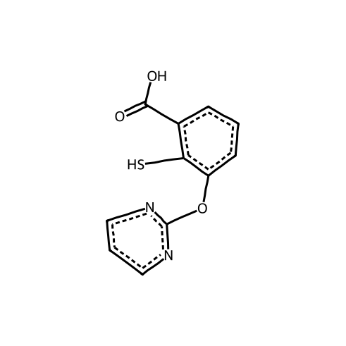 O=C(O)c1cccc(Oc2ncccn2)c1S